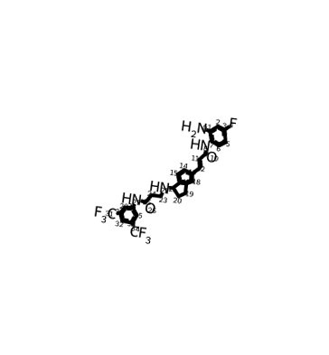 Nc1cc(F)ccc1NC(=O)/C=C/c1ccc2c(c1)CCC2NCCC(=O)Nc1cc(C(F)(F)F)cc(C(F)(F)F)c1